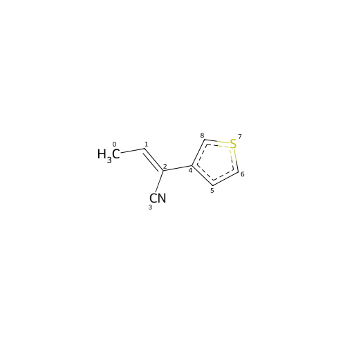 C/C=C(\C#N)c1ccsc1